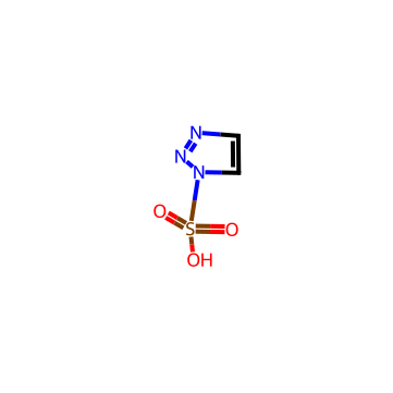 O=S(=O)(O)n1ccnn1